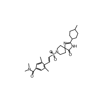 Cc1cc(C(=O)N(C)C)cc(C)c1C=CS(=O)(=O)N1CCC2(CC1)N=C(C1CCC(C)CC1)NC2=O